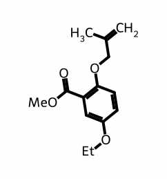 C=C(C)COc1ccc(OCC)cc1C(=O)OC